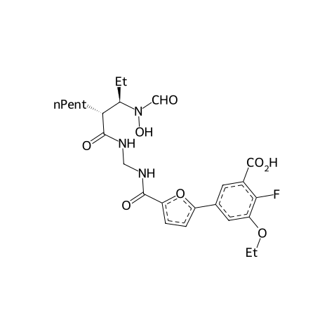 CCCCC[C@@H](C(=O)NCNC(=O)c1ccc(-c2cc(OCC)c(F)c(C(=O)O)c2)o1)[C@@H](CC)N(O)C=O